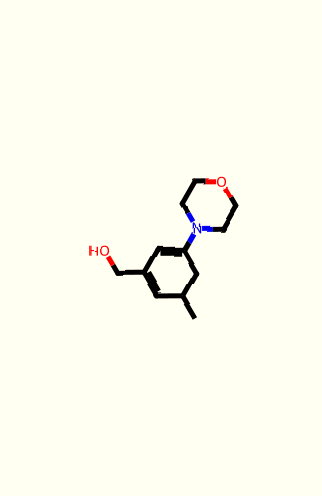 CC1C=C(CO)C=C(N2CCOCC2)C1